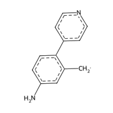 [CH2]c1cc(N)ccc1-c1ccncc1